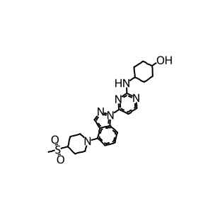 CS(=O)(=O)C1CCN(c2cccc3c2cnn3-c2ccnc(NC3CCC(O)CC3)n2)CC1